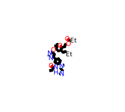 C=CC(=O)Nc1cc(-c2cc(OC3CC(/C=C/CC)=C(/C=C/OC(=O)CC)OC3(C)C)ncn2)ccc1N(C)CCN(C)C